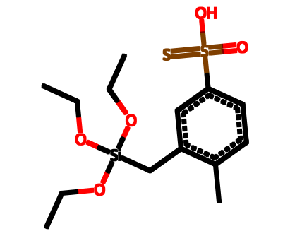 CCO[Si](Cc1cc(S(=O)(O)=S)ccc1C)(OCC)OCC